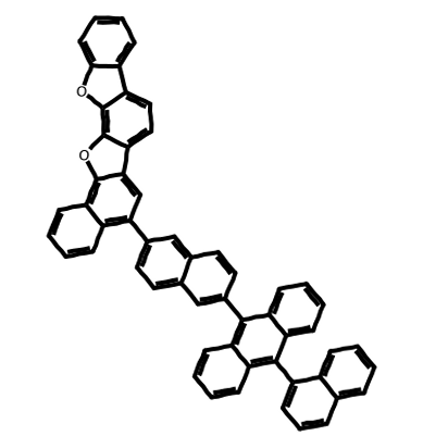 c1ccc2c(-c3c4ccccc4c(-c4ccc5cc(-c6cc7c8ccc9c%10ccccc%10oc9c8oc7c7ccccc67)ccc5c4)c4ccccc34)cccc2c1